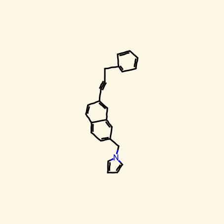 C(#Cc1ccc2ccc(Cn3cccc3)cc2c1)Cc1ccccc1